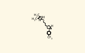 Cc1nc(SCCCN2C[C@@H]3C[C@]3(c3ccc(C(F)(F)F)cc3)C2)[nH]c1C